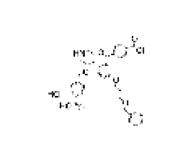 Cl.O=C(O)c1ccc(CO[C@H]2CNC[C@@H](OCc3ccc(C(=O)O)cc3)[C@H]2c2ccc(OCCCOCc3ccccc3)cc2)cc1